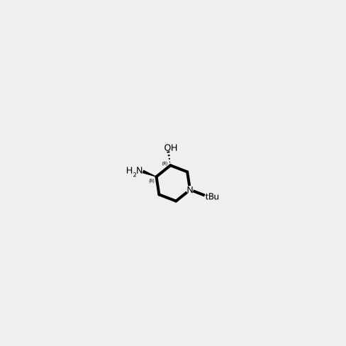 CC(C)(C)N1CC[C@@H](N)[C@H](O)C1